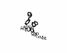 CONC(=O)c1cn(-c2ccc3c(c2)CCC3)c2nc(Nc3ccc(CCN4C5CCC4CC5)cc3)ncc2c1=O